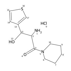 Cl.NC(C(=O)N1CCCCC1)C(O)c1ccsc1